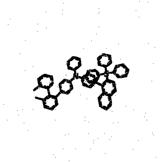 Cc1ccccc1-c1c(C)cccc1-c1ccc(N(c2ccccc2)c2ccc(-c3c(S(c4ccccc4)(c4ccccc4)c4ccccc4)ccc4ccccc34)cc2)cc1